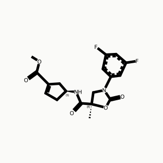 COC(=O)C1=CC[C@H](NC(=O)[C@@]2(C)CN(c3cc(F)cc(F)c3)C(=O)O2)C1